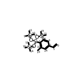 C=Cc1ccc([Si](O[Si](C)(C)C)(O[Si](C)(C)C)O[Si](C)(C)C)c(C)c1